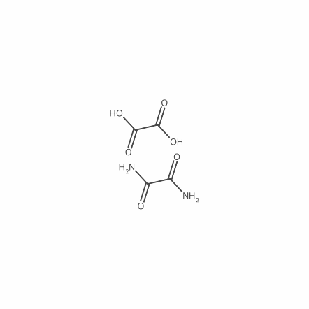 NC(=O)C(N)=O.O=C(O)C(=O)O